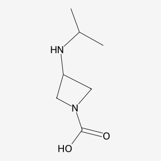 CC(C)NC1CN(C(=O)O)C1